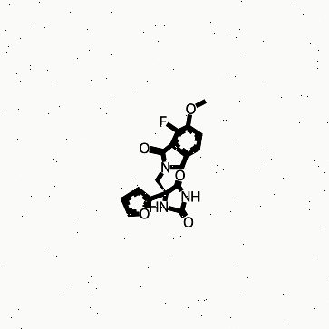 COc1ccc2c(c1F)C(=O)N(C[C@]1(c3ccco3)NC(=O)NC1=O)C2